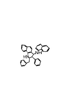 c1ccc(CC2Nc3c(ccc4ccccc34)C(Nc3cccc4ccccc34)C2c2ccccc2)cc1